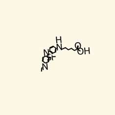 CC/N=C1\C=CC2=Nc3ccc(NCCCCCC(=O)O)cc3[Si](C)(C)C2=C1